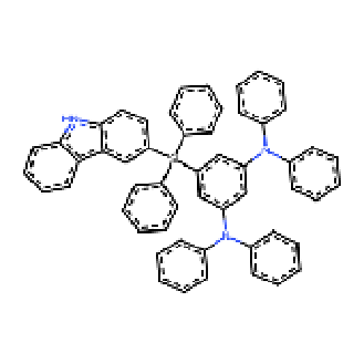 c1ccc(N(c2ccccc2)c2cc(N(c3ccccc3)c3ccccc3)cc([Si](c3ccccc3)(c3ccccc3)c3ccc4[nH]c5ccccc5c4c3)c2)cc1